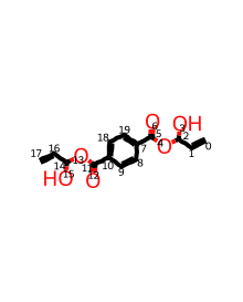 C=CC(O)OC(=O)c1ccc(C(=O)OC(O)C=C)cc1